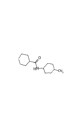 CC1CCC(NC(=O)C2CCCCC2)CC1